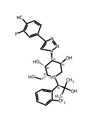 CC(C)(O)[C@@H](c1ccccc1C(F)(F)F)[SH]1C[C@H](O)[C@H](n2cc(-c3ccc(C#N)c(F)c3)nn2)[C@@H](O)[C@H]1CO